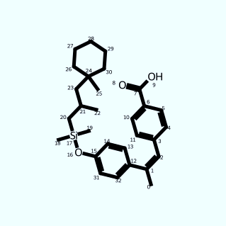 CC(=Cc1ccc(C(=O)O)cc1)c1ccc(O[Si](C)(C)CC(C)CC2(C)CCCCC2)cc1